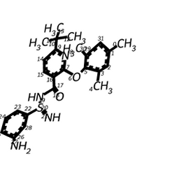 Cc1cc(C)c(Oc2nc(C(C)(C)C)ccc2C(=O)NS(=N)c2cccc(N)c2)c(C)c1